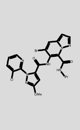 COc1cc(C(=O)Nc2c(Br)cc3ccnn3c2C(=O)NC(C)C)n(-c2ncccc2Cl)n1